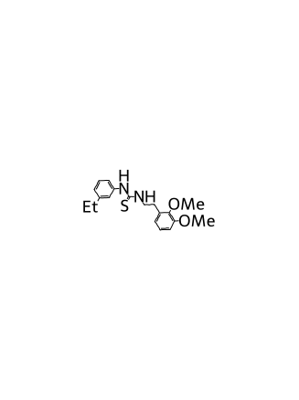 CCc1cccc(NC(=S)NCCc2cccc(OC)c2OC)c1